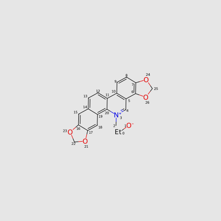 CC[O-].C[n+]1cc2c3c(ccc2c2ccc4cc5c(cc4c21)OCO5)OCO3